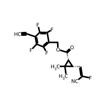 C#Cc1c(F)c(F)c(COC(=O)[C@@H]2[C@H](/C=C(/F)C#N)C2(C)C)c(F)c1F